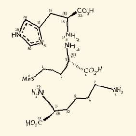 CSCC[C@H](N)C(=O)O.NCCCC[C@H](N)C(=O)O.N[C@@H](Cc1c[nH]cn1)C(=O)O